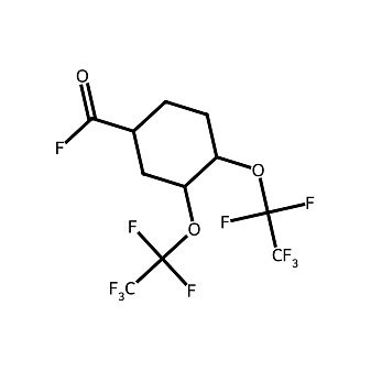 O=C(F)C1CCC(OC(F)(F)C(F)(F)F)C(OC(F)(F)C(F)(F)F)C1